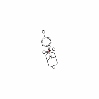 O=C1CC2COCC(C1)N2S(=O)(=O)c1ccc(Cl)cc1